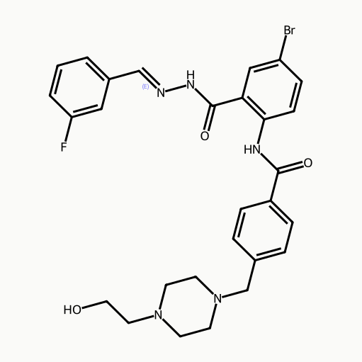 O=C(Nc1ccc(Br)cc1C(=O)N/N=C/c1cccc(F)c1)c1ccc(CN2CCN(CCO)CC2)cc1